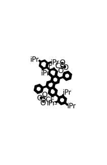 CC(C)C1=CC(C(C)C)CC(C(C)C)=C1C1C=c2c(c(-c3ccccc3OS(=O)(=O)C(F)(F)F)cc3c2cc(-c2ccccc2OS(=O)(=O)C(F)(F)F)c2ccc(-c4c(C(C)C)cc(C(C)C)cc4C(C)C)cc23)=CC1